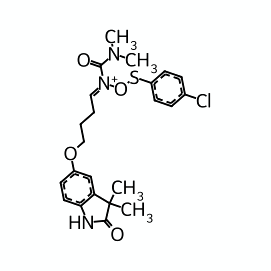 CN(C)C(=O)[N+](=CCCCOc1ccc2c(c1)C(C)(C)C(=O)N2)OSc1ccc(Cl)cc1